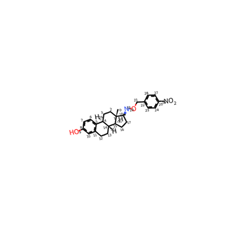 C[C@]12CC[C@@H]3c4ccc(O)cc4CC[C@H]3[C@@H]1CC/C2=N\OCc1ccc([N+](=O)[O-])cc1